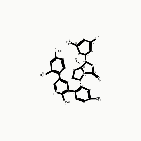 COc1ncc(-c2ccc(C(=O)O)cc2C)cc1-c1ccc(C(F)(F)F)cc1[C@@H]1CC[C@H]2[C@@H](C3C=C(F)C=C(C(F)(F)F)C3)SC(=O)N12